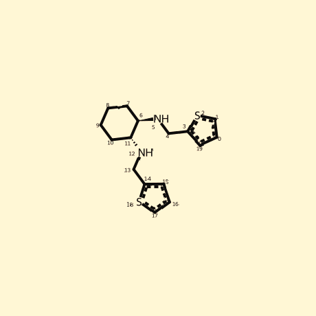 c1csc(CN[C@@H]2CCCC[C@H]2NCc2cccs2)c1